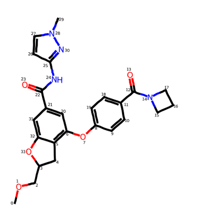 COCC1Cc2c(Oc3ccc(C(=O)N4CCC4)cc3)cc(C(=O)Nc3ccn(C)n3)cc2O1